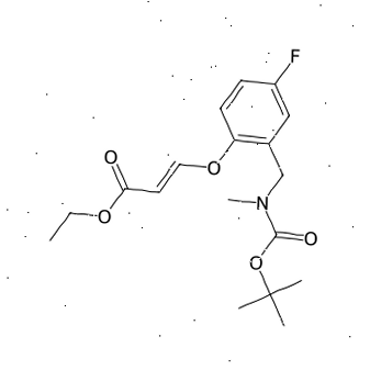 CCOC(=O)C=COc1ccc(F)cc1CN(C)C(=O)OC(C)(C)C